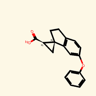 O=C(O)[C@@H]1C[C@]12CCc1ccc(Oc3ccccc3)cc12